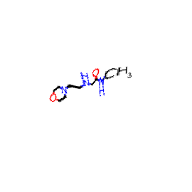 CNC(=O)CNCCN1CCOCC1